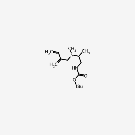 C=CC(=C)CN(C)C(C)CNC(=O)OC(C)(C)C